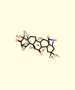 CC1(C)CC2NC(=O)[C@]23CCC2[C@H](C(=O)C=C4[C@@]5(C)C6OC6(C#N)C(=O)C(C)(C)[C@@H]5CC[C@]42C)[C@@H]3C1